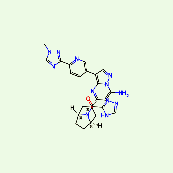 Cn1cnc(-c2ccc(-c3cnn4c(N)cc([C@@H]5C[C@H]6CC[C@@H](C5)N6C(=O)c5nnc[nH]5)nc34)cn2)n1